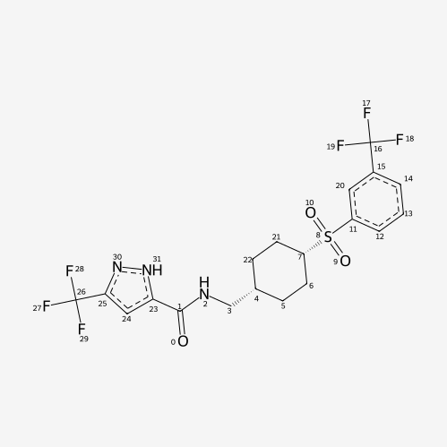 O=C(NC[C@H]1CC[C@@H](S(=O)(=O)c2cccc(C(F)(F)F)c2)CC1)c1cc(C(F)(F)F)n[nH]1